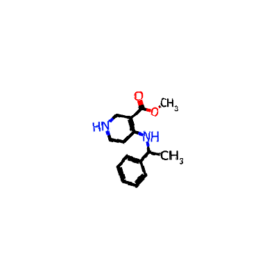 COC(=O)C1=C(NC(C)c2ccccc2)CCNC1